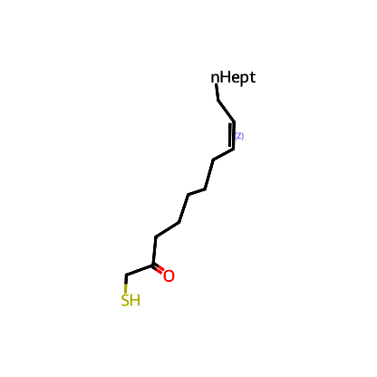 CCCCCCCC/C=C\CCCCCC(=O)CS